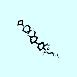 CCCS(=O)(=O)c1ccc(-c2ccc3c(c2)COC2(CCN(C4CCC4)CC2)O3)cc1Cl